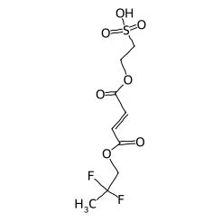 CC(F)(F)COC(=O)/C=C/C(=O)OCCS(=O)(=O)O